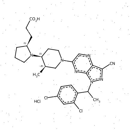 CC(c1ccc(Cl)cc1Cl)n1nc(C#N)c2ncc(N3CC[C@H](N4CCC[C@H]4CCC(=O)O)[C@H](C)C3)nc21.Cl